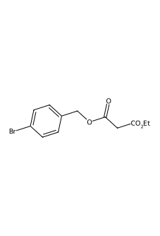 CCOC(=O)CC(=O)OCc1ccc(Br)cc1